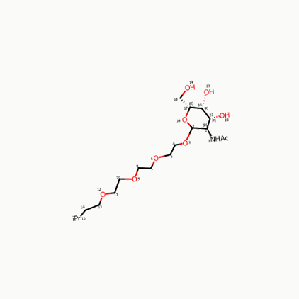 CC(=O)N[C@H]1C(OCCOCCOCCOCCC(C)C)O[C@H](CO)[C@H](O)[C@@H]1O